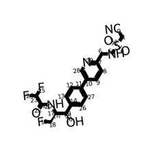 N#CCS(=O)(=O)NCc1ccc(-c2ccc([C@H](O)[C@@H](CF)NC(=O)C(F)F)cc2)cn1